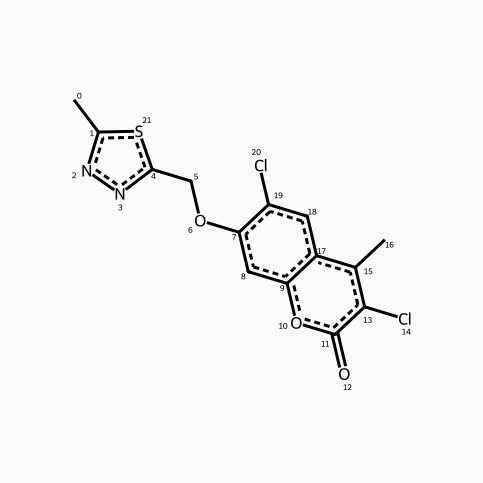 Cc1nnc(COc2cc3oc(=O)c(Cl)c(C)c3cc2Cl)s1